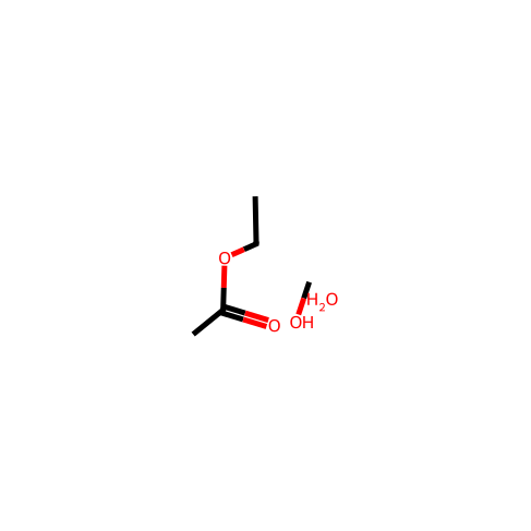 CCOC(C)=O.CO.O